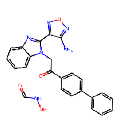 Nc1nonc1-c1nc2ccccc2n1CC(=O)c1ccc(-c2ccccc2)cc1.O=CNO